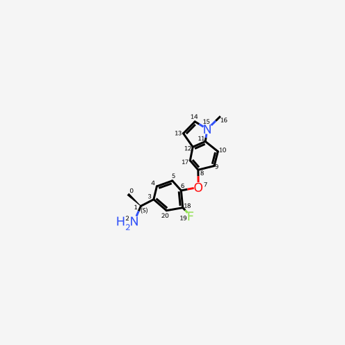 C[C@H](N)c1ccc(Oc2ccc3c(ccn3C)c2)c(F)c1